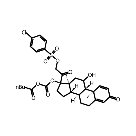 CCCCC(=O)OC(=O)O[C@]1(C(=O)COS(=O)(=O)c2ccc(Cl)cc2)CC[C@H]2[C@@H]3CCC4=CC(=O)C=C[C@]4(C)[C@H]3C(O)C[C@@]21C